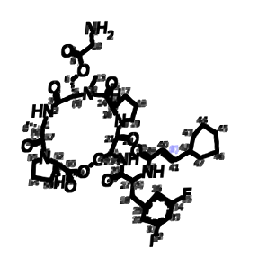 C[C@@H]1NC(=O)[C@H](COC(=O)CN)N(C)C(=O)[C@@H]2CCCN2C(=O)[C@@H](NC(=O)[C@H](Cc2cc(F)cc(F)c2)NC(=O)/C=C/C2CCCCC2)COC(=O)[C@@H]2CCCN2C1=O